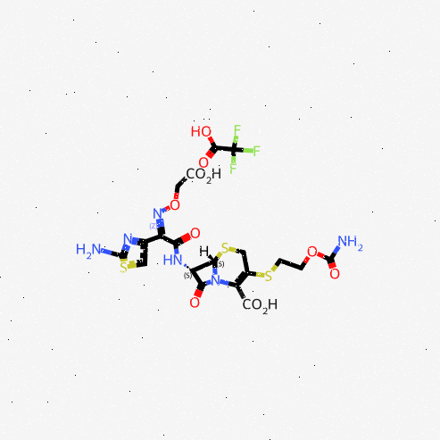 NC(=O)OCCSC1=C(C(=O)O)N2C(=O)[C@H](NC(=O)/C(=N\OCC(=O)O)c3csc(N)n3)[C@@H]2SC1.O=C(O)C(F)(F)F